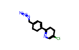 [N-]=[N+]=NCC1=CC=C(C2=NC=C(Cl)CC2)CC1